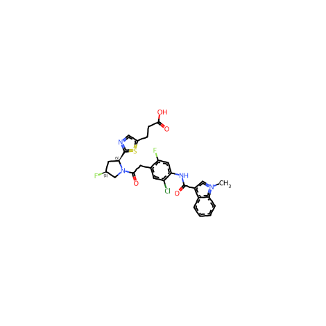 Cn1cc(C(=O)Nc2cc(F)c(CC(=O)N3C[C@@H](F)C[C@H]3c3ncc(CCC(=O)O)s3)cc2Cl)c2ccccc21